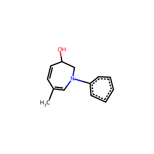 CC1=CN(c2ccccc2)CC(O)C=C1